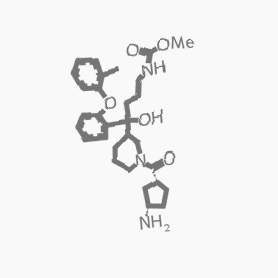 COC(=O)NCCCC(O)(c1ccccc1Oc1ccccc1C)C1CCCN(C(=O)[C@@H]2CC[C@H](N)C2)C1